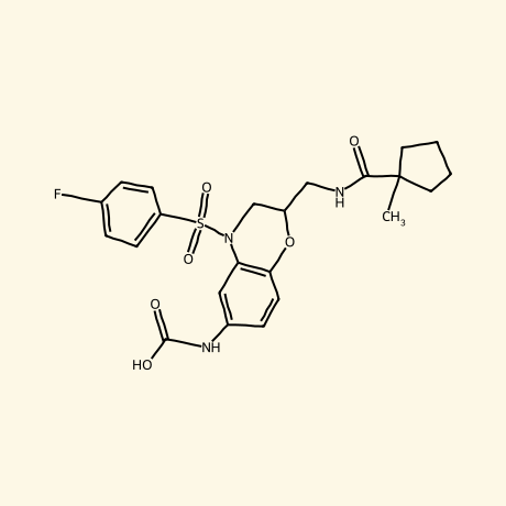 CC1(C(=O)NCC2CN(S(=O)(=O)c3ccc(F)cc3)c3cc(NC(=O)O)ccc3O2)CCCC1